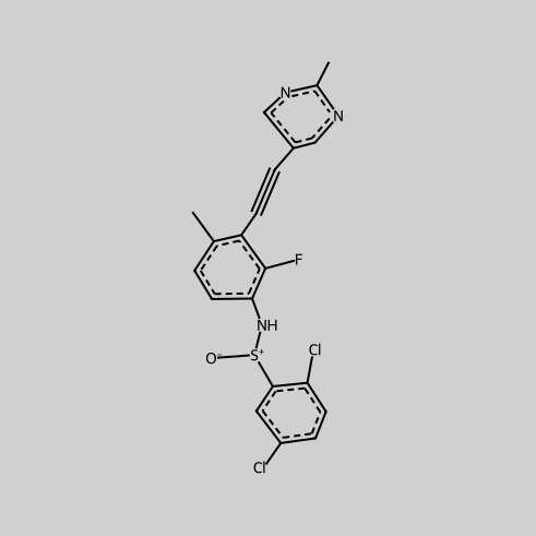 Cc1ncc(C#Cc2c(C)ccc(N[S+]([O-])c3cc(Cl)ccc3Cl)c2F)cn1